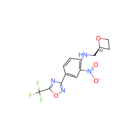 O=[N+]([O-])c1cc(-c2noc(C(F)(F)F)n2)ccc1NC[C@@H]1CCO1